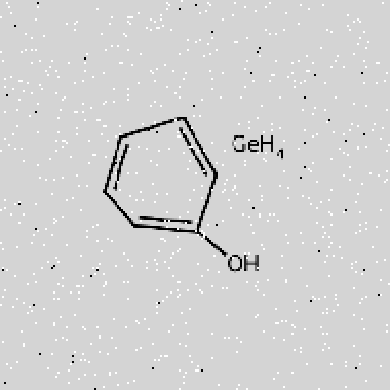 Oc1ccccc1.[GeH4]